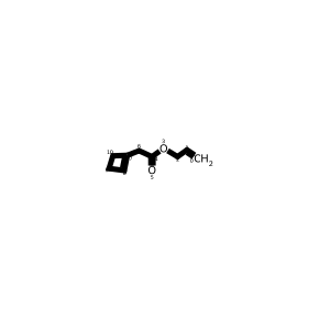 C=CCOC(=O)CC1=CCC1